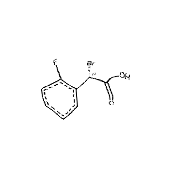 O=C(O)[C@@H](Br)c1ccccc1F